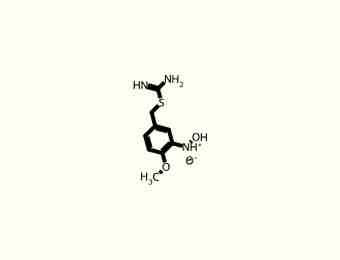 COc1ccc(CSC(=N)N)cc1[NH+]([O-])O